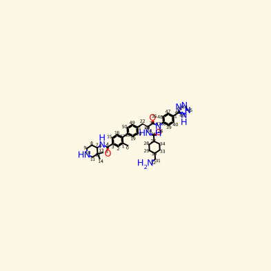 Cc1cc(C(=O)NC2CCNCC2(C)C)ccc1-c1ccc(C[C@H](NC(=O)C2CCC(CN)CC2)C(=O)Nc2ccc(-c3nnn[nH]3)cc2)cc1